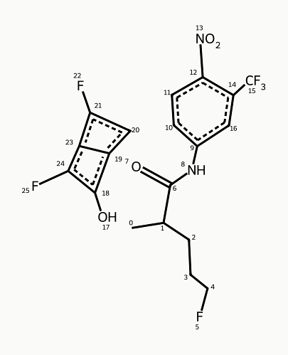 CC(CCCF)C(=O)Nc1ccc([N+](=O)[O-])c(C(F)(F)F)c1.Oc1c2cc(F)c-2c1F